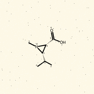 CC(C)[C@H]1[C@@H](C(=O)O)N1C